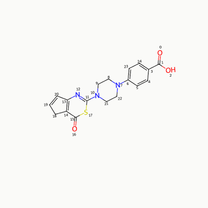 O=C(O)c1ccc(N2CCN(c3nc4c(c(=O)s3)CC=C4)CC2)cc1